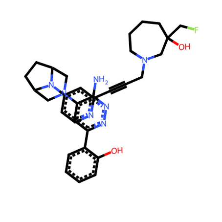 Nc1nnc(-c2ccccc2O)cc1N1CC2CCC(C1)N2c1ccnc(C#CCN2CCCCC(O)(CF)C2)c1